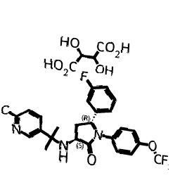 CC(C)(N[C@H]1C[C@H](c2cccc(F)c2)N(c2ccc(OC(F)(F)F)cc2)C1=O)c1ccc(C(F)(F)F)nc1.O=C(O)C(O)C(O)C(=O)O